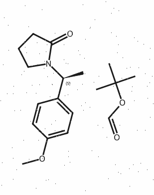 CC(C)(C)OC=O.COc1ccc([C@H](C)N2CCCC2=O)cc1